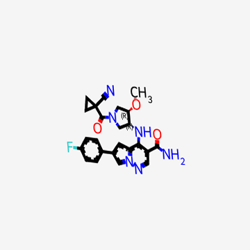 CO[C@@H]1CN(C(=O)C2(C#N)CC2)C[C@H]1Nc1c(C(N)=O)cnn2cc(-c3ccc(F)cc3)cc12